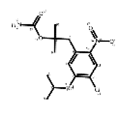 CC(C)Nc1cc(CC(C)(C)OC(N)=O)c([N+](=O)[O-])cc1Cl